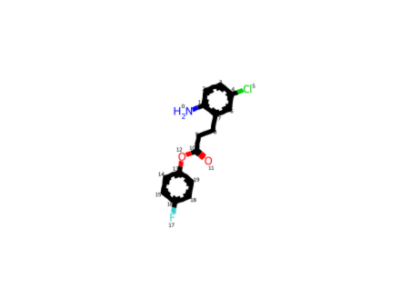 Nc1ccc(Cl)cc1CCC(=O)Oc1ccc(F)cc1